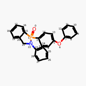 O=P1(c2ccc(Oc3ccccc3)cc2)c2ccccc2CN1c1ccccc1